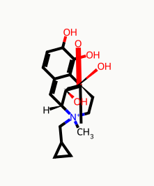 C[N+]1(CC2CC2)CC[C@@]23C4=C(O)C(O)C=CC4=C[C@@H]1[C@]2(O)CCC(=O)[C@@H]3O